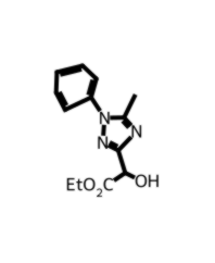 CCOC(=O)C(O)c1nc(C)n(-c2ccccc2)n1